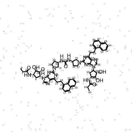 CCC(=O)N[C@H]1C[C@@H](n2cnc3c(CCc4cccc5ccccc45)nc(N4CC[C@@H](NC(=O)N[C@@H]5CCN(c6nc(CCc7cccc8ccccc78)c7ncn([C@@H]8C[C@H](NC(=O)CC)[C@@H](O)[C@H]8O)c7n6)C5)C4)nc32)[C@H](O)[C@@H]1O